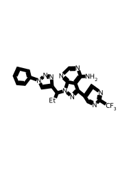 CCC(c1cn(-c2ccccc2)nn1)n1nc(-c2cnc(C(F)(F)F)nc2)c2c(N)ncnc21